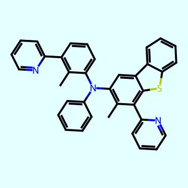 Cc1c(-c2ccccn2)cccc1N(c1ccccc1)c1cc2c(sc3ccccc32)c(-c2ccccn2)c1C